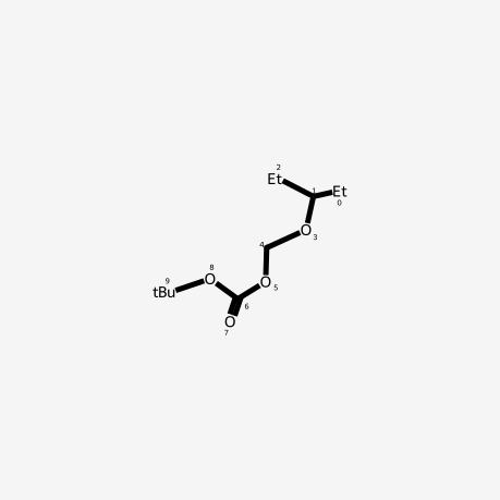 CCC(CC)OCOC(=O)OC(C)(C)C